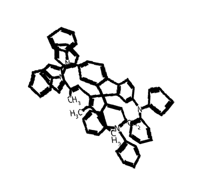 C=C(/C=C1\C(=C/C)C(C)=C(/C=C(\C)N(c2ccccc2)c2ccccc2)C12c1cc(N(c3ccccc3)c3ccccc3)ccc1-c1ccc(N(c3ccccc3)c3ccccc3)cc12)N(c1ccccc1)c1ccccc1